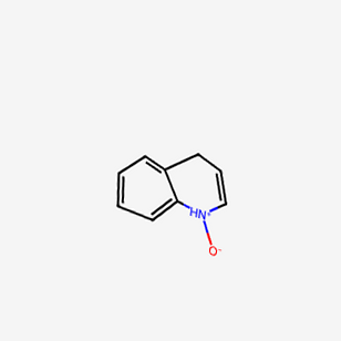 [O-][NH+]1C=CCc2ccccc21